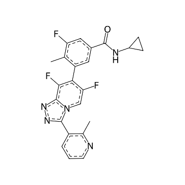 Cc1ncccc1-c1nnc2c(F)c(-c3cc(C(=O)NC4CC4)cc(F)c3C)c(F)cn12